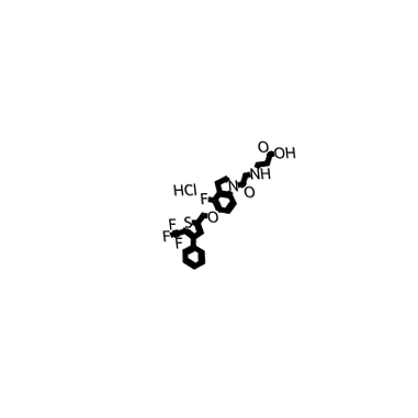 Cl.O=C(O)CCNCC(=O)N1CCc2c1ccc(OCc1cc(-c3ccccc3)c(C(F)(F)F)s1)c2F